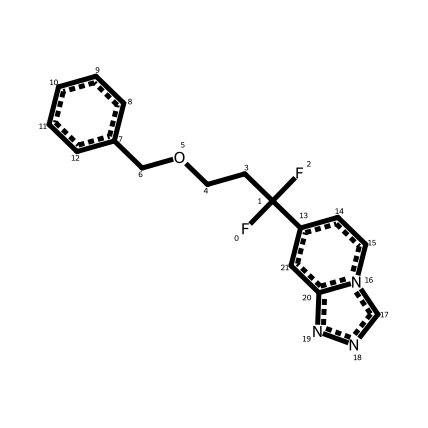 FC(F)(CCOCc1ccccc1)c1ccn2cnnc2c1